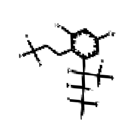 FC(F)(F)CCc1c(Br)[c]c(Br)cc1C(F)(C(F)(F)F)C(F)(F)C(F)(F)F